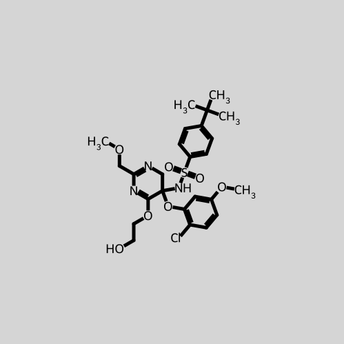 COCC1=NCC(NS(=O)(=O)c2ccc(C(C)(C)C)cc2)(Oc2cc(OC)ccc2Cl)C(OCCO)=N1